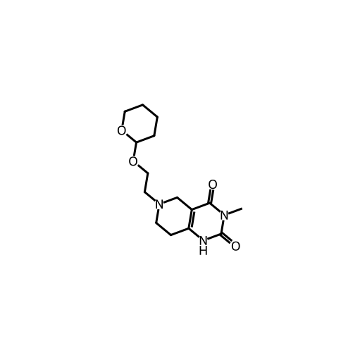 Cn1c(=O)[nH]c2c(c1=O)CN(CCOC1CCCCO1)CC2